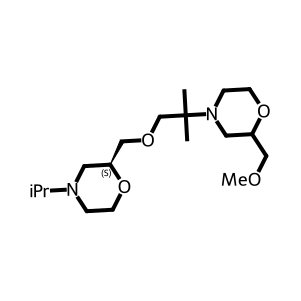 COCC1CN(C(C)(C)COC[C@@H]2CN(C(C)C)CCO2)CCO1